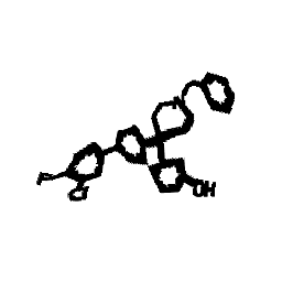 Oc1cccc(C2(c3ccc(-c4ccc(F)c(Cl)c4)cc3)CCN(Cc3ccccc3)CC2)c1